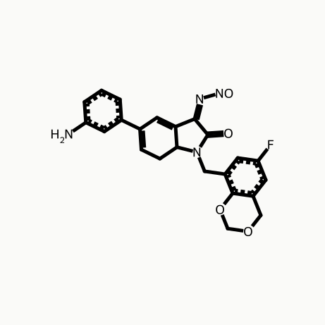 Nc1cccc(C2=CCC3C(=C2)/C(=N/N=O)C(=O)N3Cc2cc(F)cc3c2OCOC3)c1